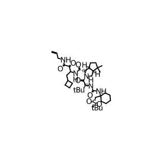 C=CCNC(=O)C(=O)C(CC1CCC1)NC(=O)[C@@H]1[C@H]2CCC(C)(C)[C@H]2CN1C(=O)[C@@H](NC(=O)NC1(CS(=O)(=O)C(C)(C)C)CCCCC1)C(C)(C)C